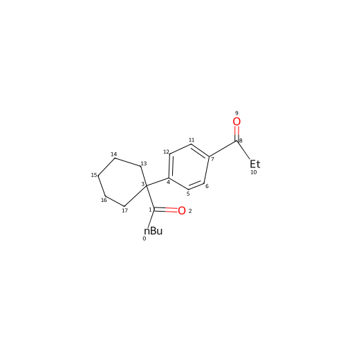 CCCCC(=O)C1(c2ccc(C(=O)CC)cc2)CCCCC1